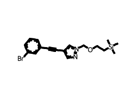 C[Si](C)(C)CCOCn1cc(C#Cc2cccc(Br)c2)cn1